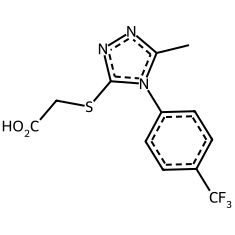 Cc1nnc(SCC(=O)O)n1-c1ccc(C(F)(F)F)cc1